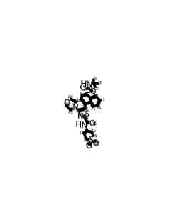 CC(C)(C)NS(=O)(=O)c1ccc(-c2sc(C(=O)NC3CCS(=O)(=O)CC3)nc2N2CCOCC2)c2ccccc12